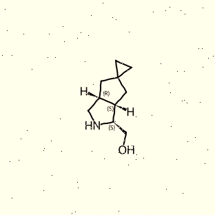 OC[C@H]1NC[C@@H]2CC3(CC3)C[C@@H]21